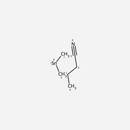 CCCC#N.[CH3][Sn][CH3]